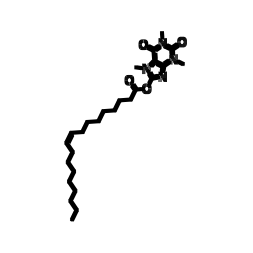 CCCCCCCC/C=C\CCCCCCCC(=O)Oc1nc2c(c(=O)n(C)c(=O)n2C)n1C